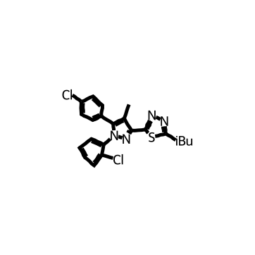 CCC(C)c1nnc(-c2nn(-c3ccccc3Cl)c(-c3ccc(Cl)cc3)c2C)s1